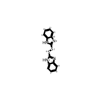 c1ccc2[nH]c(SSc3nc4ccccc4[nH]3)nc2c1